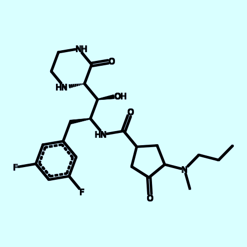 CCCN(C)C1CC(C(=O)N[C@@H](Cc2cc(F)cc(F)c2)[C@H](O)[C@@H]2NCCNC2=O)CC1=O